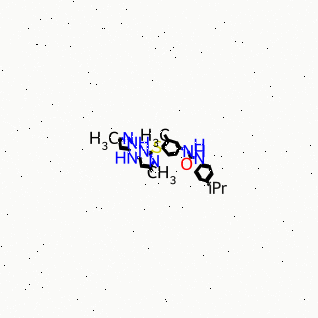 Cc1cc(Nc2cc(C)nc(Sc3ccc(NC(=O)Nc4ccc(C(C)C)cc4)cc3C)n2)[nH]n1